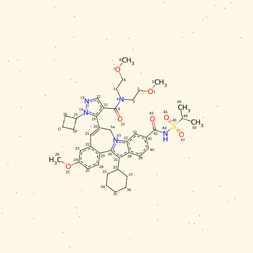 COCCN(CCOC)C(=O)c1cnn(C2CCC2)c1C1=Cc2cc(OC)ccc2-c2c(C3CCCCC3)c3ccc(C(=O)NS(=O)(=O)C(C)C)cc3n2C1